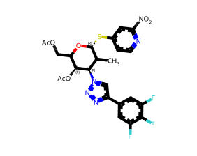 CC(=O)OCC1O[C@H](Sc2ccnc([N+](=O)[O-])c2)C(C)[C@@H](n2cc(-c3cc(F)c(F)c(F)c3)nn2)[C@H]1OC(C)=O